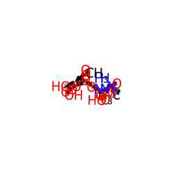 C/C=C\C(=O)N(C=O)CC(=O)NC(CS(=O)(=O)O)C(=O)NCCOCCOc1cc(OC2CC[C@H](O)C(C(=O)O)O2)ccc1COC(C)=O